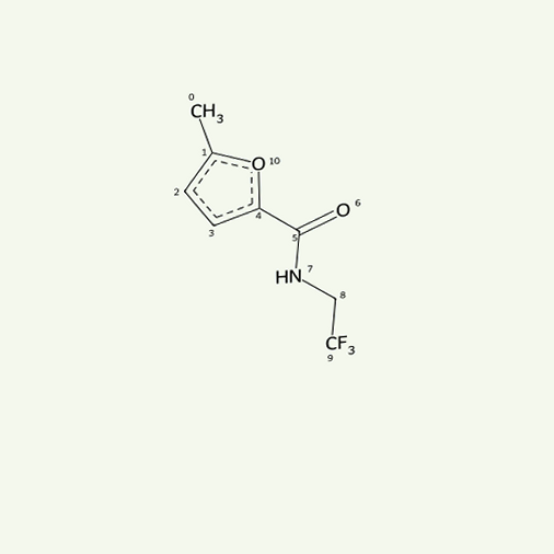 Cc1ccc(C(=O)NCC(F)(F)F)o1